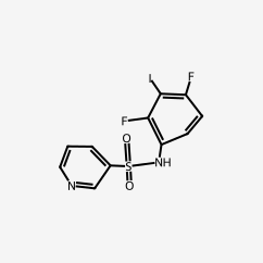 O=S(=O)(Nc1ccc(F)c(I)c1F)c1cccnc1